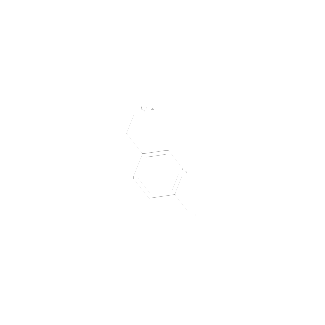 CCc1ccc(CSC)cn1